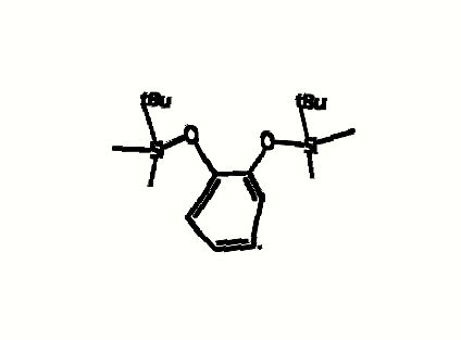 CC(C)(C)[Si](C)(C)Oc1c[c]ccc1O[Si](C)(C)C(C)(C)C